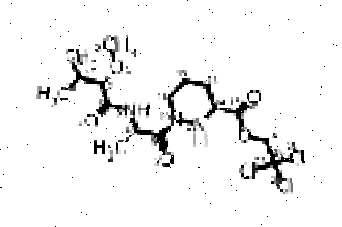 CO[C@H](C(=O)N[C@@H](C)C(=O)N1CCC[C@@H](C(=O)OCC(Cl)(Cl)Cl)N1)C(C)C